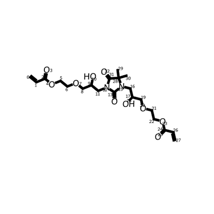 C=CC(=O)OCCOCC(O)CN1C(=O)N(CC(O)COCCOC(=O)C=C)C(C)(C)C1=O